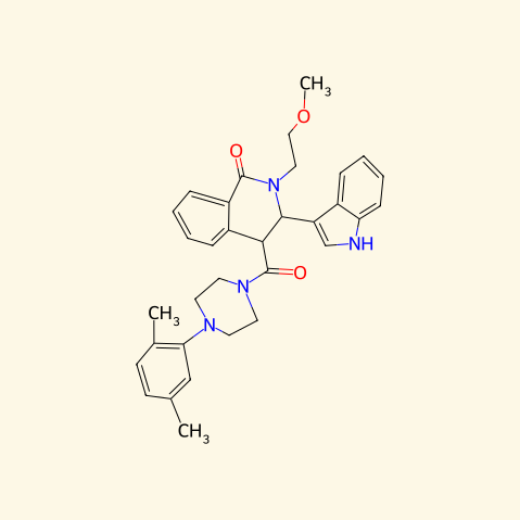 COCCN1C(=O)c2ccccc2C(C(=O)N2CCN(c3cc(C)ccc3C)CC2)C1c1c[nH]c2ccccc12